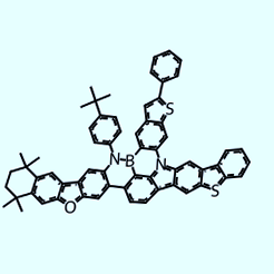 CC(C)(C)c1ccc(N2B3c4cc5cc(-c6ccccc6)sc5cc4-n4c5cc6c(cc5c5ccc(c3c54)-c3cc4oc5cc7c(cc5c4cc32)C(C)(C)CCC7(C)C)sc2ccccc26)cc1